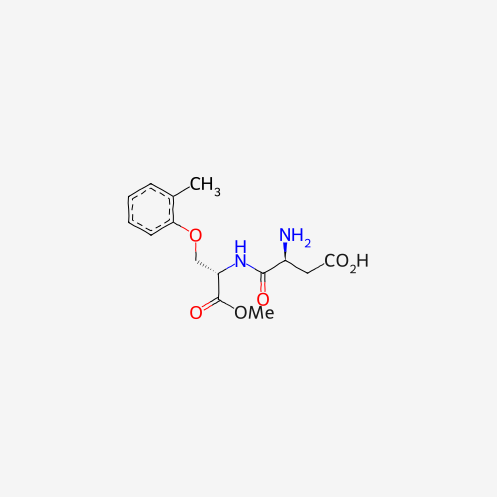 COC(=O)[C@H](COc1ccccc1C)NC(=O)[C@@H](N)CC(=O)O